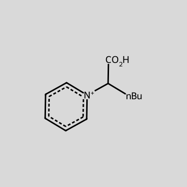 CCCCC(C(=O)O)[n+]1ccccc1